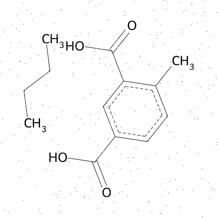 CCCC.Cc1ccc(C(=O)O)cc1C(=O)O